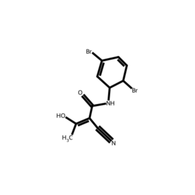 C/C(O)=C(\C#N)C(=O)NC1C=C(Br)C=CC1Br